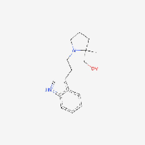 CC1(CO)CCCN1CCc1c[nH]c2ccccc12